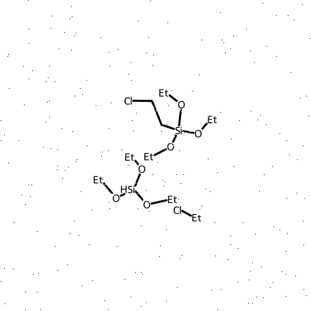 CCO[SiH](OCC)OCC.CCO[Si](CCCl)(OCC)OCC.[CH2]CCl